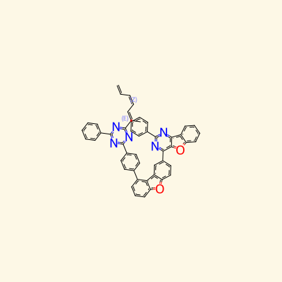 C=C/C=C\C=C(/C)c1nc(-c2ccccc2)nc(-c2ccc(-c3cccc4oc5ccc(-c6nc(-c7ccccc7)nc7c6oc6ccccc67)cc5c34)cc2)n1